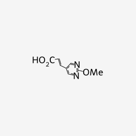 COc1ncc(C=CC(=O)O)cn1